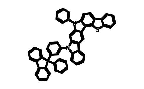 c1ccc(-n2c3cc4c(cc3c3c5sc6ccccc6c5ccc32)c2ccccc2n4-c2cccc(C3(c4ccccc4)c4ccccc4-c4ccccc43)c2)cc1